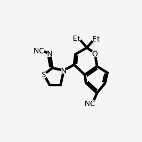 CCC1(CC)C=C(N2CCSC2=NC#N)c2cc(C#N)ccc2O1